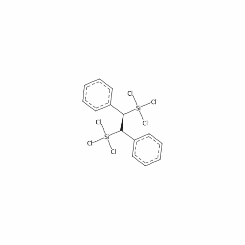 Cl[Si](Cl)(Cl)C(c1ccccc1)[C@@H](c1ccccc1)[Si](Cl)(Cl)Cl